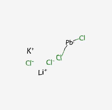 [Cl-].[Cl-].[Cl][Pb][Cl].[K+].[Li+]